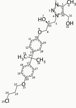 Cc1nnn(C[C@H](O)COc2ccc(C(C)(C)c3ccc(OCCCCl)cc3)cc2)c1CO